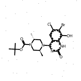 C[C@@H]1CN(c2nc(=O)[nH]c3c(O)c(Br)c(Cl)cc23)[C@@H](C)CN1C(=O)OC(C)(C)C